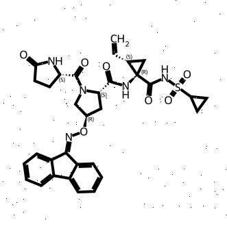 C=C[C@@H]1C[C@]1(NC(=O)[C@@H]1C[C@@H](ON=C2c3ccccc3-c3ccccc32)CN1C(=O)[C@@H]1CCC(=O)N1)C(=O)NS(=O)(=O)C1CC1